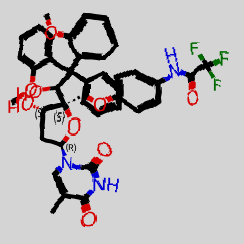 COc1ccccc1C(c1ccccc1)(c1ccccc1OC)C(O)[C@@]1(COc2ccc(NC(=O)C(F)(F)F)cc2)O[C@@H](n2cc(C)c(=O)[nH]c2=O)C[C@@H]1O